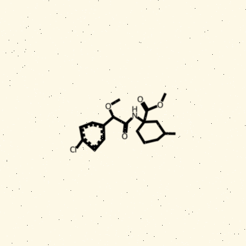 COC(=O)C1(NC(=O)C(OC)c2ccc(Cl)cc2)CCCC(C)C1